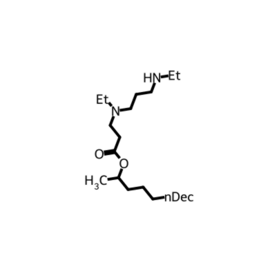 CCCCCCCCCCCCCC(C)OC(=O)CCN(CC)CCCNCC